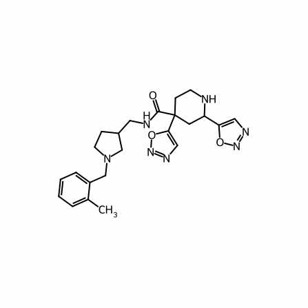 Cc1ccccc1CN1CCC(CNC(=O)C2(c3cnno3)CCNC(c3cnno3)C2)C1